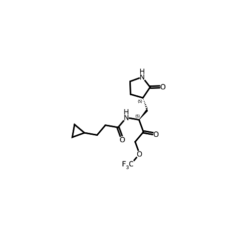 O=C(CCC1CC1)N[C@@H](C[C@@H]1CCNC1=O)C(=O)COC(F)(F)F